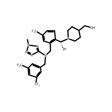 CC(C)[C@H](c1ccc(C(F)(F)F)cc1CN(Cc1cc(C(F)(F)F)cc(C(F)(F)F)c1)c1nnn(C)n1)N1CCC(CO)CC1